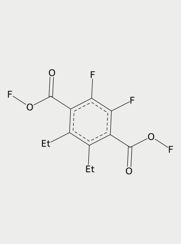 CCc1c(CC)c(C(=O)OF)c(F)c(F)c1C(=O)OF